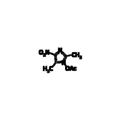 CC(=O)On1c(C)nc([N+](=O)[O-])c1C